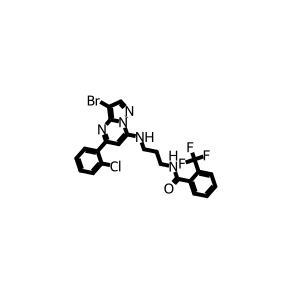 O=C(NCCCNc1cc(-c2ccccc2Cl)nc2c(Br)cnn12)c1ccccc1C(F)(F)F